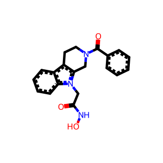 O=C(Cn1c2c(c3ccccc31)CCN(C(=O)c1ccccc1)C2)NO